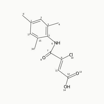 Cc1cc(C)c(NC(=O)C(Cl)=CC(=O)O)c(C)c1